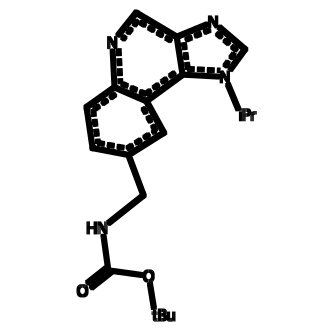 CC(C)n1cnc2cnc3ccc(CNC(=O)OC(C)(C)C)cc3c21